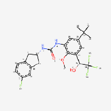 COc1c(NC(=O)N[C@H]2Cc3ccc(F)cc3C2)cc(C(C)(C)C)cc1[C@@H](O)C(F)(F)F